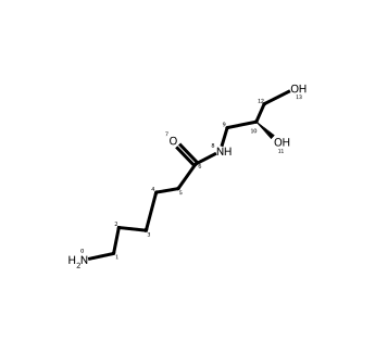 NCCCCCC(=O)NC[C@H](O)CO